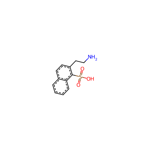 NCCc1ccc2ccccc2c1S(=O)(=O)O